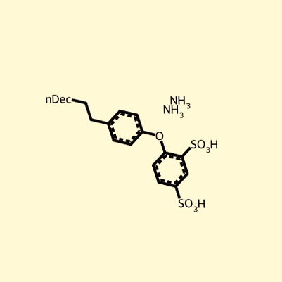 CCCCCCCCCCCCc1ccc(Oc2ccc(S(=O)(=O)O)cc2S(=O)(=O)O)cc1.N.N